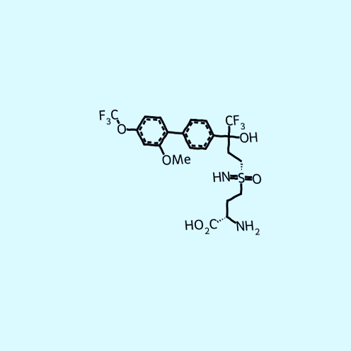 COc1cc(OC(F)(F)F)ccc1-c1ccc(C(O)(CC[S@](=N)(=O)CC[C@H](N)C(=O)O)C(F)(F)F)cc1